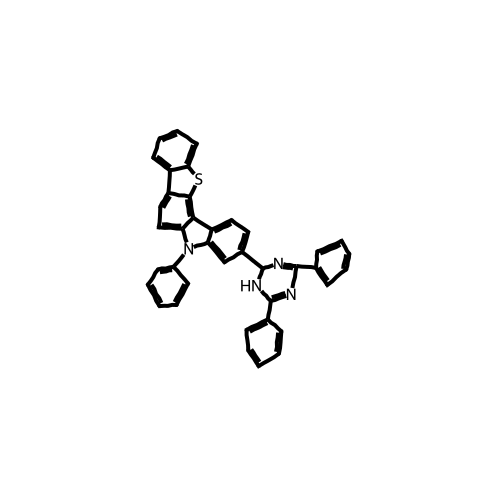 c1ccc(C2=NC(c3ccc4c5c6sc7ccccc7c6ccc5n(-c5ccccc5)c4c3)NC(c3ccccc3)=N2)cc1